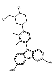 COc1ccc2c(c1)c1cc(OC)ccc1n2-c1ccc(C2CCC(C(F)(F)F)C(CC(F)(F)F)C2)c(C)c1C